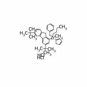 Cl.Cl.[CH2]=[Zr]([CH2]CCC)([CH2]c1ccccc1)([C]1=CC=CC1)[c]1cc(C(C)(C)C)cc2c1Cc1ccc(C(C)(C)C)cc1-2